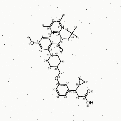 COc1ccc(C(=O)N(CC(C)(C)C)c2nc(C)cc(C)n2)c(N2CCC(COc3cccc(C(CC(=O)O)C4CC4)c3)CC2)c1